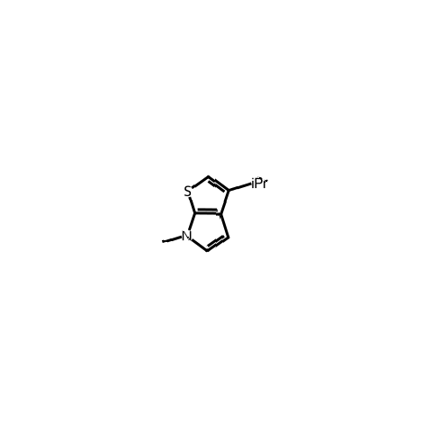 CC(C)c1csc2c1ccn2C